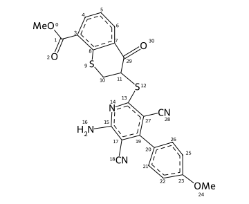 COC(=O)c1cccc2c1SCC(Sc1nc(N)c(C#N)c(-c3ccc(OC)cc3)c1C#N)C2=O